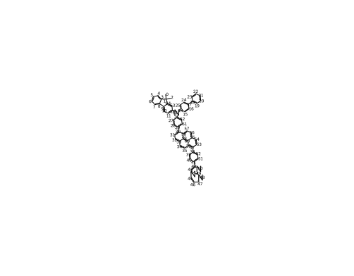 CC1(C)c2ccccc2-c2ccc(N(c3ccc(-c4ccccc4)cc3)c3ccc(-c4ccc5ccc6c(-c7ccc(-c8cn9cccnc9n8)cc7)ccc7ccc4c5c76)cc3)cc21